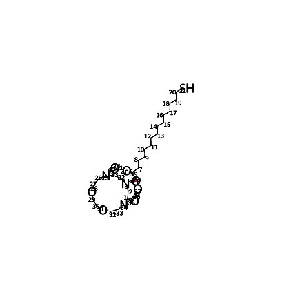 O=C1CN(C(=O)CCCCCCCCCCCCCCCS)CC(=O)N2CCOCCOCCN1CCOCCOCC2